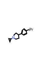 CC(C)c1ccc(C2CCN(C3CC3)CC2)cc1